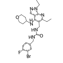 CCc1nc2c(cnn2CC)c(NC2CCOCC2)c1CNC(=O)NCc1ccc(F)c(Br)c1